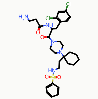 NCCC(=O)NC(Cc1ccc(Cl)cc1Cl)C(=O)N1CCN(C2(CCNS(=O)(=O)c3ccccc3)CCCCC2)CC1